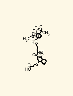 CCC(C)(C)c1ccc(OCCCCNC(=O)c2cc(SCCC(=O)O)c3ccccc3c2O)c(C(C)(C)CC)c1